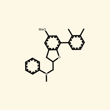 COc1cc2c(c(-c3cccc(C)c3C)c1)OC(CN(C)c1ccccc1)C2